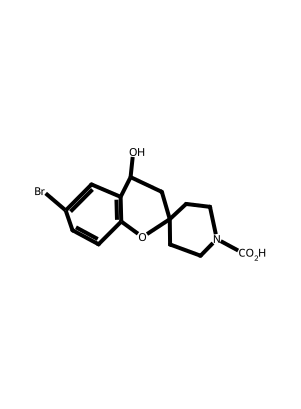 O=C(O)N1CCC2(CC1)CC(O)c1cc(Br)ccc1O2